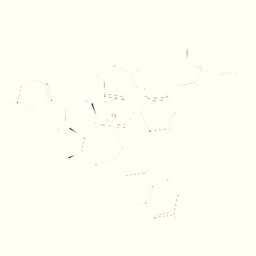 CCCCOP(=O)(COc1ccc(C[C@@H]2[C@H](OCc3ccccc3)[C@H](O)[C@@H](O)[C@@H](OCc3ccccc3)[C@@H](Cc3ccccc3)S2(=O)=O)cc1)OCCCC